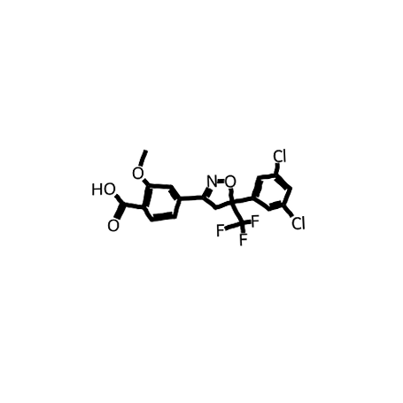 COc1cc(C2=NOC(c3cc(Cl)cc(Cl)c3)(C(F)(F)F)C2)ccc1C(=O)O